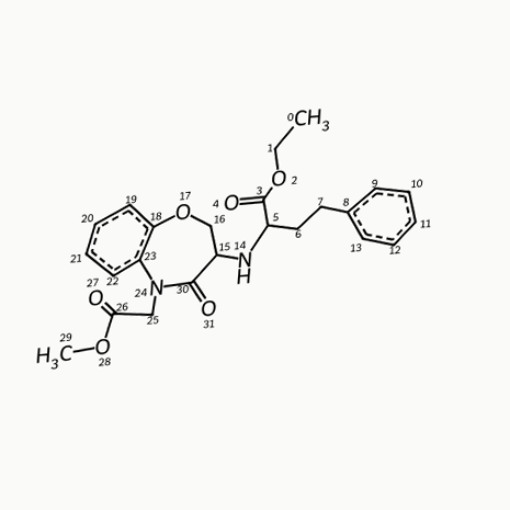 CCOC(=O)C(CCc1ccccc1)NC1COc2ccccc2N(CC(=O)OC)C1=O